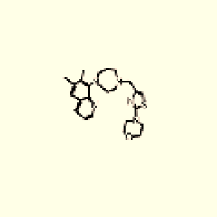 Cc1cc2cccnc2c(N2CCCN(Cc3csc(N4CCOCC4)n3)CC2)c1C